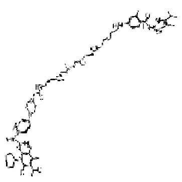 CC(=O)c1c(C)c2cnc(Nc3ccc(N4CCN(CC(=O)NCCOCCOCCOCCOCCOCCNc5ccc(C(=O)Nc6nc(C(C)C)c(C)s6)c(C)c5)CC4)cn3)nc2n(C2CCCC2)c1=O